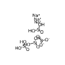 O=[Si](O)O.O=[Si](O)O.O=[Si](O)O.[Na+].[Na+].[Na+].[O-]B([O-])[O-]